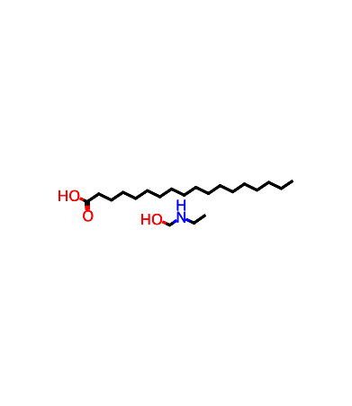 CCCCCCCCCCCCCCCCCC(=O)O.CCNCO